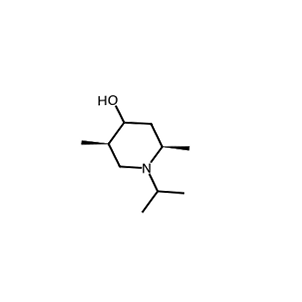 CC(C)N1C[C@@H](C)C(O)C[C@H]1C